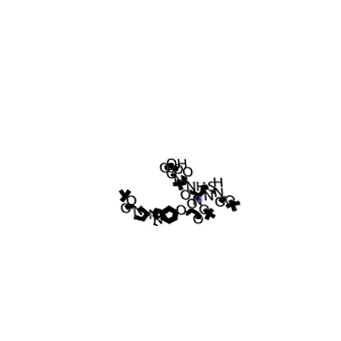 C[n+]1c2ccc(OCC(O/N=C(\C(=O)NC3C(=O)N(OS(=O)(=O)O)C3(C)C)c3csc(NC(=O)OC(C)(C)C)n3)C(=O)OC(C)(C)C)cc2cn1C1CCN(C(=O)OC(C)(C)C)C1